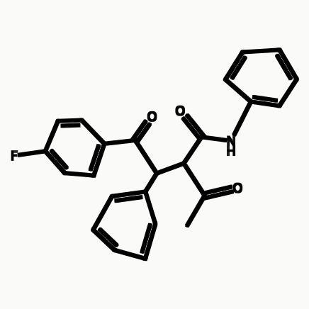 CC(=O)C(C(=O)Nc1ccccc1)C(C(=O)c1ccc(F)cc1)c1ccccc1